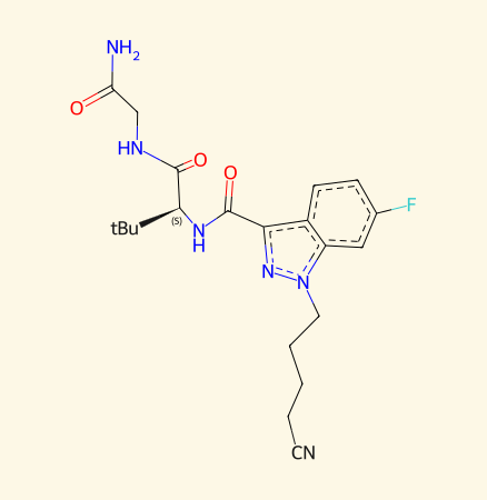 CC(C)(C)[C@H](NC(=O)c1nn(CCCCC#N)c2cc(F)ccc12)C(=O)NCC(N)=O